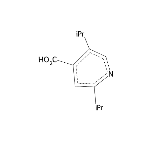 CC(C)c1cc(C(=O)O)c(C(C)C)cn1